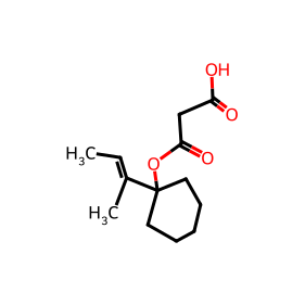 C/C=C(\C)C1(OC(=O)CC(=O)O)CCCCC1